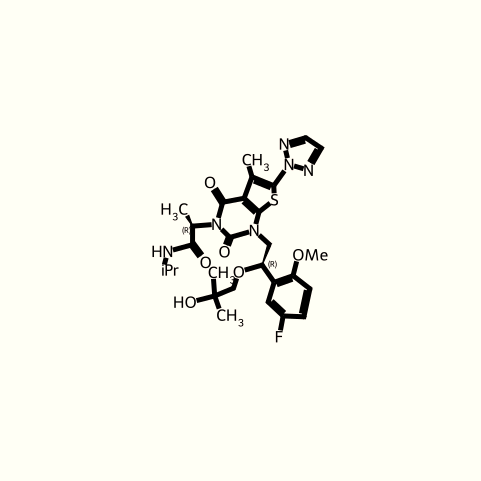 COc1ccc(F)cc1[C@H](Cn1c(=O)n([C@H](C)C(=O)NC(C)C)c(=O)c2c(C)c(-n3nccn3)sc21)OCC(C)(C)O